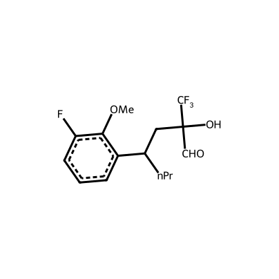 CCCC(CC(O)(C=O)C(F)(F)F)c1cccc(F)c1OC